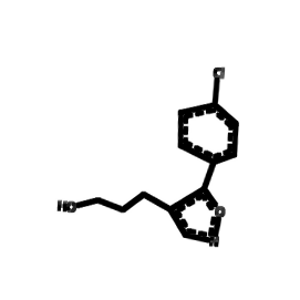 OCCCc1cnoc1-c1ccc(Cl)cc1